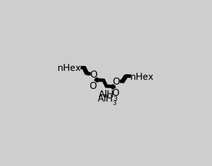 CCCCCCC=COC(=O)CCC(=O)OC=CCCCCCC.[AlH3].[AlH3]